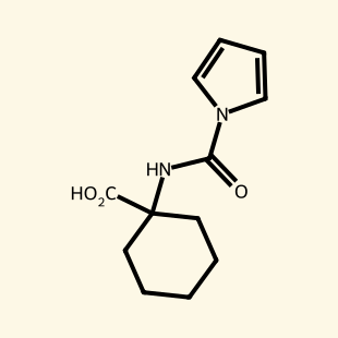 O=C(NC1(C(=O)O)CCCCC1)n1cccc1